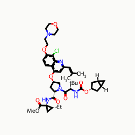 CC[C@@H]1C[C@]1(NC(=O)[C@@H]1C[C@@H](Oc2cc(C=C(C)C)nc3c(Cl)c(OCCN4CCOCC4)ccc23)CN1C(=O)[C@@H](NC(=O)O[C@@H]1C[C@@H]2C[C@@H]2C1)C(C)(C)C)C(=O)OC